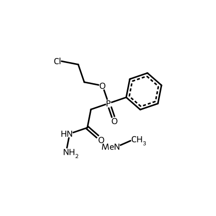 CNC.NNC(=O)CP(=O)(OCCCl)c1ccccc1